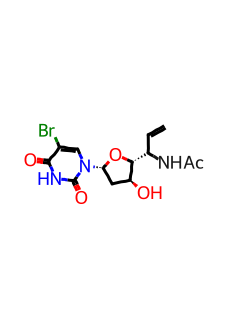 C=CC(NC(C)=O)[C@H]1O[C@@H](n2cc(Br)c(=O)[nH]c2=O)C[C@@H]1O